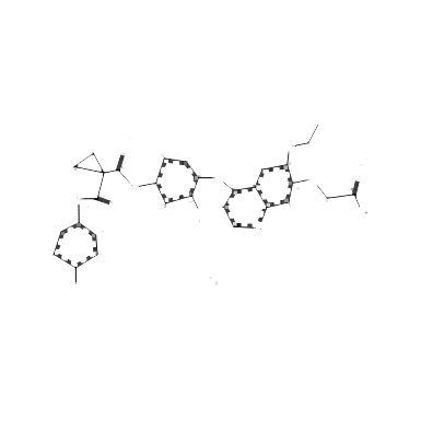 CCOc1cc2c(Oc3ccc(NC(=O)C4(C(=O)Nc5ccc(F)cc5)CC4)cc3F)ccnc2cc1OCC(=O)O.[CaH2]